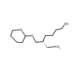 CC[C@@H](CCCCO)COC1CCCCO1